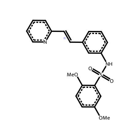 COc1ccc(OC)c(S(=O)(=O)Nc2cccc(/C=C/c3ccccn3)c2)c1